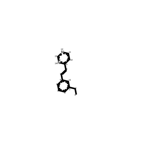 CCc1[c]ccc(C=Cc2ccncn2)c1